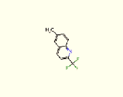 [CH2]c1ccc2nc(C(F)(F)F)ccc2c1